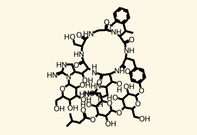 CC(C)CC(=O)OC1C(O)C(CO)OC(OC2C(CO)OC(Oc3ccc(CC4NC(=O)C(C(C)c5ccccc5Cl)NC(=O)CNC(=O)C(CO)NC(=O)C(C(O)C5CNC(=N)N5C5OC(CO)C(O)C(O)C5O)NC(=O)C(C(O)C5CNC(=N)N5)NC4=O)cc3)C(O)C2O)C1O